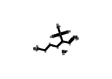 C=CC(CCCC)S(=O)(=O)[O-].[Na+]